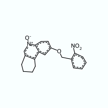 O=[N+]([O-])c1ccccc1COc1ccc2c(c1)c1c(c[n+]2[O-])CCCC1